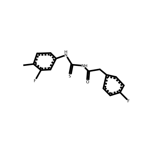 Cc1ccc(NC(=S)NC(=O)Cc2ccc(F)cc2)cc1F